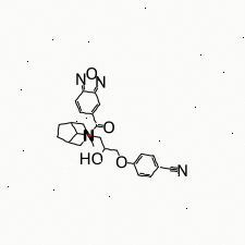 CN(C(=O)c1ccc2nonc2c1)C1C2CCC1CN(CC(O)COc1ccc(C#N)cc1)C2